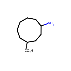 NC1CCCCCC(C(=O)O)CC1